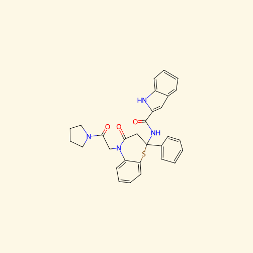 O=C(NC1(c2ccccc2)CC(=O)N(CC(=O)N2CCCC2)c2ccccc2S1)c1cc2ccccc2[nH]1